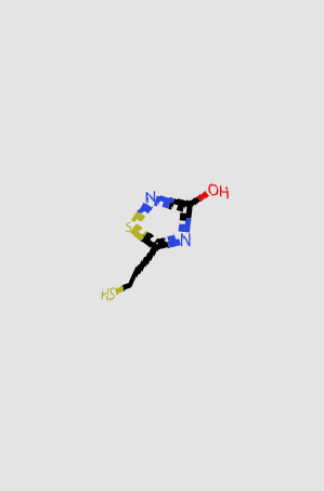 Oc1nsc(CS)n1